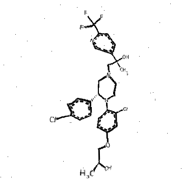 C[C@H](O)COc1ccc(N2CCN(C[C@@](C)(O)c3ccc(C(F)(F)F)nc3)C[C@H]2c2ccc(Cl)cc2)c(Cl)c1